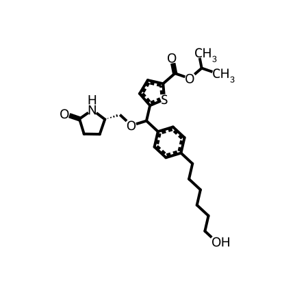 CC(C)OC(=O)c1ccc(C(OC[C@@H]2CCC(=O)N2)c2ccc(CCCCCCO)cc2)s1